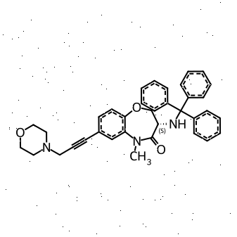 CN1C(=O)[C@@H](NC(c2ccccc2)(c2ccccc2)c2ccccc2)COc2ccc(C#CCN3CCOCC3)cc21